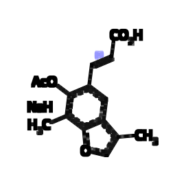 CC(=O)Oc1c(/C=C/C(=O)O)cc2c(C)coc2c1C.[NaH]